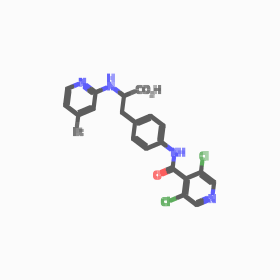 CCc1ccnc(NC(Cc2ccc(NC(=O)c3c(Cl)cncc3Cl)cc2)C(=O)O)c1